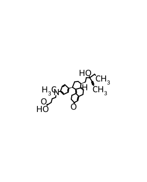 CC#CC(O)(CC)CC[C@@H]1CC[C@H](c2ccc(N(C)CCCC(=O)O)cc2)C2=C3CCC(=O)C=C3CC[C@H]21